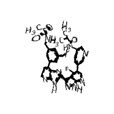 CC(C)C(=O)Nc1cncc(-c2cnc3[nH]nc(-c4nc5c(-c6cc(F)cc(CNS(C)(=O)=O)c6)ccnc5[nH]4)c3c2F)c1